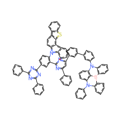 c1ccc(-c2cc(-c3cccc(-c4cccc(N5c6ccccc6B6c7ccccc7N(c7ccccc7)c7cccc5c76)c4)c3)nc(-c3cc(-c4nc(-c5ccccc5)nc(-c5ccccc5)n4)ccc3-n3c4ccccc4c4c5sc6ccccc6c5ccc43)n2)cc1